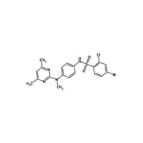 Cc1cc(C)nc(N(C)c2ccc(NS(=O)(=O)c3ccc(Br)cc3Cl)cc2)n1